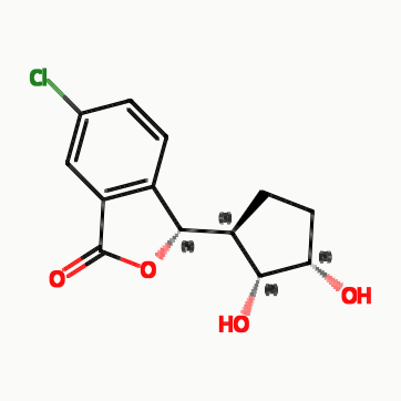 O=C1O[C@@H]([C@H]2CC[C@H](O)[C@@H]2O)c2ccc(Cl)cc21